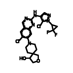 OC1COCC12CCN(c1cc3nc(Nc4cnn(C5CC5(F)F)c4Cl)ncc3cc1Cl)CC2